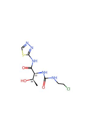 C[C@@H](O)[C@H](NC(=O)NCCCl)C(=O)Nc1nncs1